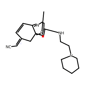 CN1CC2=C(NCCN3CCCCC3)C=CN=C3C=C/C(=C\C#N)CC32C1